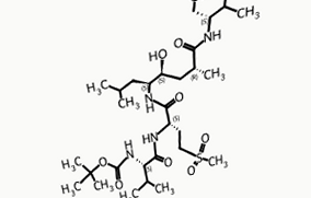 CC(C)C[C@H](NC(=O)[C@H](CCS(C)(=O)=O)NC(=O)[C@@H](NC(=O)OC(C)(C)C)C(C)C)[C@@H](O)C[C@@H](C)C(=O)N[C@H](CO)C(C)C